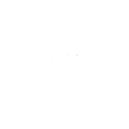 C=CC[N+](C)(OCC)OCC.[Br-]